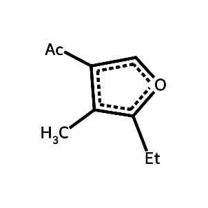 CCc1occ(C(C)=O)c1C